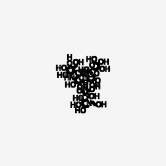 C[C@H]1O[C@H](O[C@H]2[C@H](O)[C@@H](O)[C@@H](O[C@H]3[C@H](O)[C@@H](O)[C@H](O)O[C@@H]3CO)O[C@@H]2CO)[C@H](O)[C@@H](O)[C@@H]1N[C@H]1C=C(CO)[C@@H](O)[C@H](O)[C@H]1O.O=C1CSC(=O)N1.OCCN1C[C@H](O)[C@@H](O)[C@H](O)[C@H]1CO